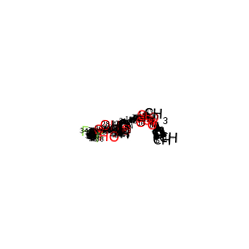 C#CCC(CC#C)COC(=O)OC(C)OC(=O)CCC[C@H]1CC[C@@H]2[C@@H](/C=C/[C@@H](O)COc3cc(F)ccc3F)[C@H](O)C[C@@H]2OC1